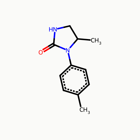 Cc1ccc(N2C(=O)NCC2C)cc1